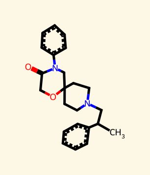 CC(CN1CCC2(CC1)CN(c1ccccc1)C(=O)CO2)c1ccccc1